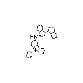 c1ccc(-n2c3ccccc3c3cc(Nc4ccc(-c5cccc6ccccc56)c5ccccc45)ccc32)cc1